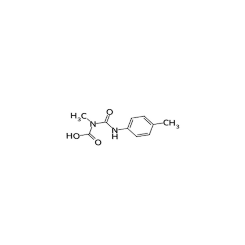 Cc1ccc(NC(=O)N(C)C(=O)O)cc1